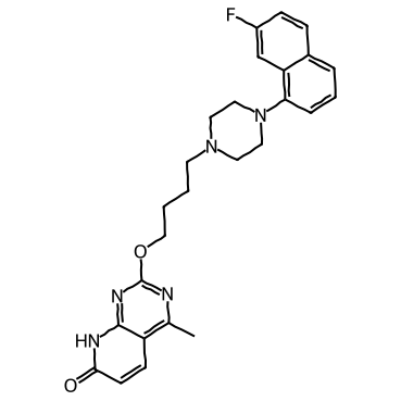 Cc1nc(OCCCCN2CCN(c3cccc4ccc(F)cc34)CC2)nc2[nH]c(=O)ccc12